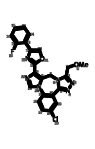 COCc1nnc2n1Cc1c(-c3nc(-c4ccccc4F)co3)ncn1-c1ccc(Cl)cc1-2